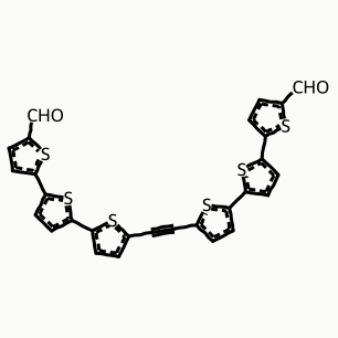 O=Cc1ccc(-c2ccc(-c3ccc(C#Cc4ccc(-c5ccc(-c6ccc(C=O)s6)s5)s4)s3)s2)s1